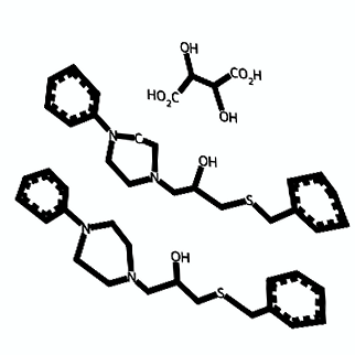 O=C(O)C(O)C(O)C(=O)O.OC(CSCc1ccccc1)CN1CCN(c2ccccc2)CC1.OC(CSCc1ccccc1)CN1CCN(c2ccccc2)CC1